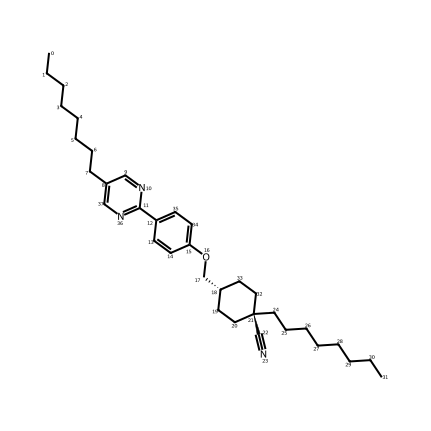 CCCCCCCCc1cnc(-c2ccc(OC[C@H]3CC[C@@](C#N)(CCCCCCCC)CC3)cc2)nc1